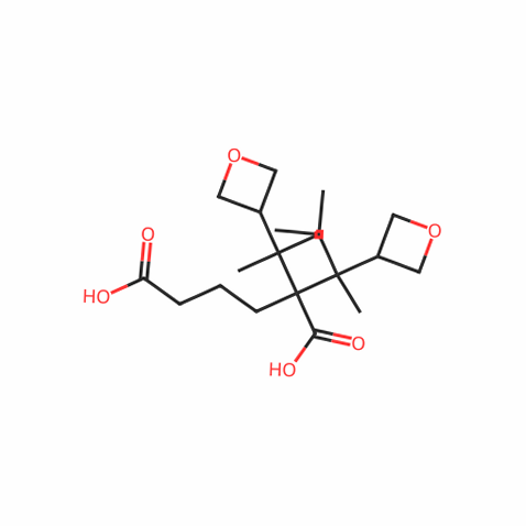 CCC(C)(C1COC1)C(CCCC(=O)O)(C(=O)O)C(C)(CC)C1COC1